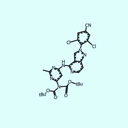 Cc1nc(Nc2nccc3nn(-c4c(Cl)cc(C#N)cc4Cl)cc23)cc(N(C(=O)OC(C)(C)C)C(=O)OC(C)(C)C)n1